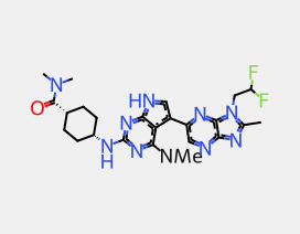 CNc1nc(N[C@H]2CC[C@@H](C(=O)N(C)C)CC2)nc2[nH]cc(-c3cnc4nc(C)n(CC(F)F)c4n3)c12